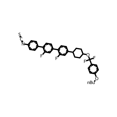 CCCCOc1ccc(C(F)(F)OC2CCC(c3ccc(-c4ccc(-c5ccc(N=C=S)cc5)c(F)c4)c(F)c3)CC2)cc1